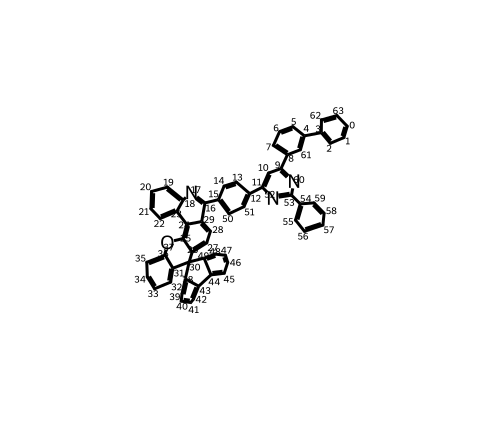 c1ccc(-c2cccc(-c3cc(-c4ccc(-c5nc6ccccc6c6c7c(ccc56)C5(c6ccccc6O7)c6ccccc6-c6ccccc65)cc4)nc(-c4ccccc4)n3)c2)cc1